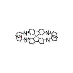 C[N+](C)(c1ccccc1)c1ccc2c(c1)C1(c3cc([N+](C)(C)c4ccccc4)ccc3-2)c2cc([N+](C)(C)c3ccccc3)ccc2-c2ccc([N+](C)(C)c3ccccc3)cc21